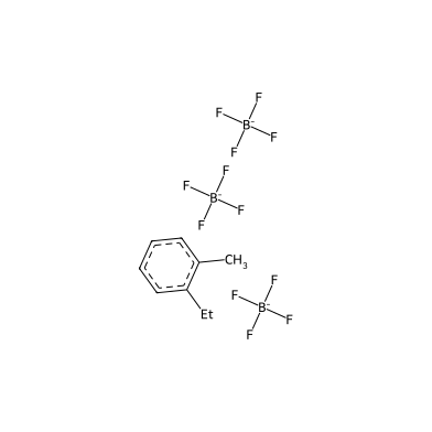 CCc1ccccc1C.F[B-](F)(F)F.F[B-](F)(F)F.F[B-](F)(F)F